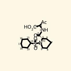 CC(=O)C(NC(=O)[C@@H]1CCCCN1S(=O)(=O)C1CCCCC1)C(=O)O